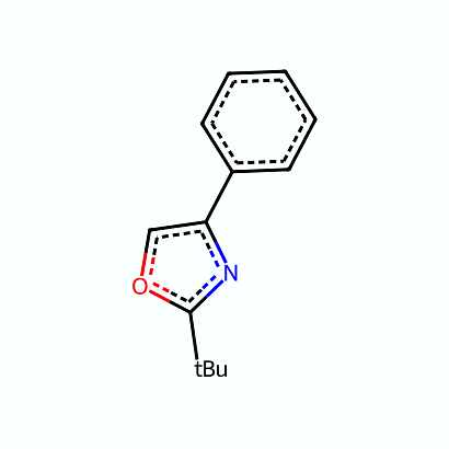 CC(C)(C)c1nc(-c2ccccc2)co1